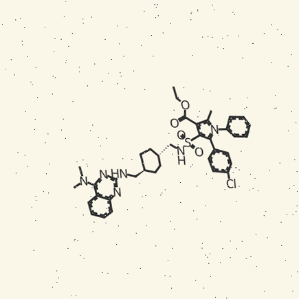 CCOC(=O)c1c(S(=O)(=O)NC[C@H]2CC[C@H](CNc3nc(N(C)C)c4ccccc4n3)CC2)c(-c2ccc(Cl)cc2)n(-c2ccccc2)c1C